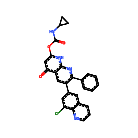 O=C(NC1CC1)Oc1cc(=O)c2cc(-c3cc(Cl)c4ncccc4c3)c(-c3ccccc3)nc2[nH]1